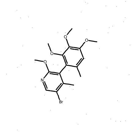 COc1[c]c(C)c(-c2c(OC)ncc(Br)c2C)c(OC)c1OC